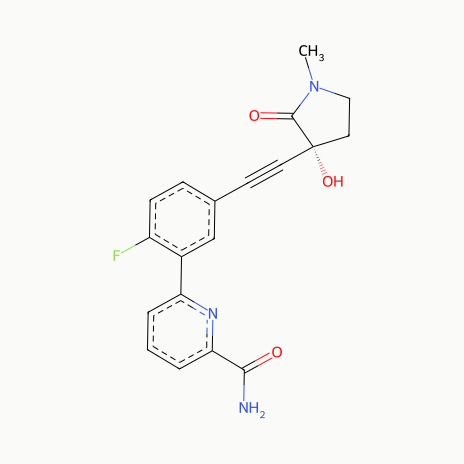 CN1CC[C@@](O)(C#Cc2ccc(F)c(-c3cccc(C(N)=O)n3)c2)C1=O